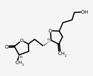 C=C1CC(CCCO)O[C@H]1CCC1C[C@@H](C)C(=O)O1